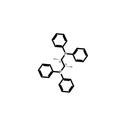 C[C@@H]([C@H](C)P(c1ccccc1)c1ccccc1)P(c1ccccc1)c1ccccc1